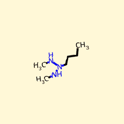 CCCCN(NC)NC